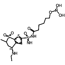 CCN[C@H]1CC(C)S(=O)(=O)c2sc(S(=N)(=O)NC(=O)CCCCCON(O)O)cc21